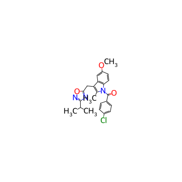 COc1ccc2c(c1)c(Cc1nc(C(C)C)no1)c(C)n2C(=O)c1ccc(Cl)cc1